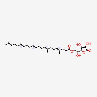 CC(C)=CCC/C(C)=C/CC/C(C)=C/CC/C=C(\C)CC/C=C(\C)CCC(=O)OCC(O)C1OC(=O)C(O)=C1O